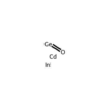 [Cd].[In].[O]=[Ge]